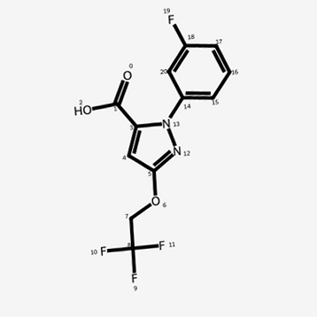 O=C(O)c1cc(OCC(F)(F)F)nn1-c1cccc(F)c1